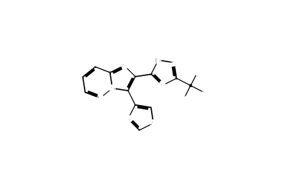 FC(F)(F)c1n[nH]c(-c2nc3cccnn3c2-c2c[nH]cn2)n1